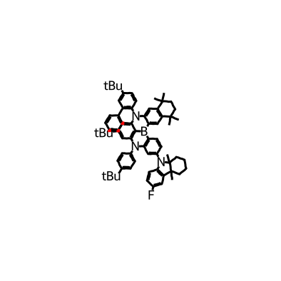 CC(C)(C)c1ccc(N2c3cc(N4c5ccc(F)cc5C5(C)CCCCC45C)ccc3B3c4cc5c(cc4N(c4ccc(C(C)(C)C)cc4-c4ccccc4)c4cc(C(C)(C)C)cc2c43)C(C)(C)CCC5(C)C)cc1